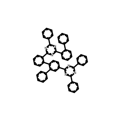 c1ccc(-c2nc(-c3ccccc3)nc(-c3ccc(-c4ccccc4-c4nc(-c5ccccc5)nc(-c5ccccc5-c5ccccc5)n4)c(-c4ccccc4)c3)n2)cc1